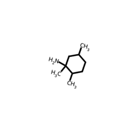 CC1CCC(C)C(C)(N)C1